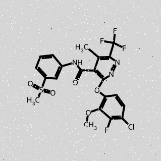 COc1c(Oc2nnc(C(F)(F)F)c(C)c2C(=O)Nc2cccc(S(C)(=O)=O)c2)ccc(Cl)c1F